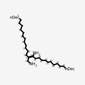 CCCCCCCCCCCCCCCCCCCCCCC(CN)=C(N)CCCCCCCCCCCCCCCCCCCC